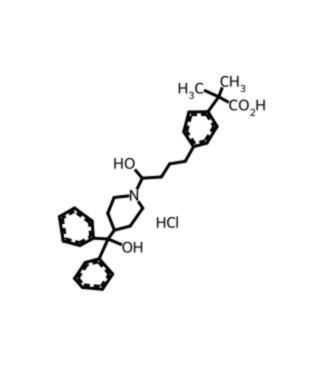 CC(C)(C(=O)O)c1ccc(CCCC(O)N2CCC(C(O)(c3ccccc3)c3ccccc3)CC2)cc1.Cl